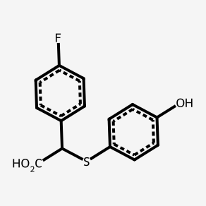 O=C(O)C(Sc1ccc(O)cc1)c1ccc(F)cc1